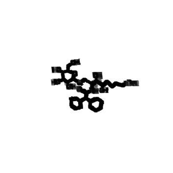 CCCCCCCCCCCCCC[C@@H](O)[C@@H](O)[C@H](COC1OC(CO)C(O)C(O)[C@@H]1O)NC(=O)C(c1ccccc1)c1ccccc1